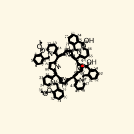 COOc1ccccc1C[n+]1ccccc1-c1c2nc(c(-c3cccc[n+]3Cc3ccccc3OOC)c3ccc([nH]3)c(-c3cccc[n+]3Cc3ccccc3C(=O)O)c3nc(c(-c4cccc[n+]4Cc4ccccc4C(=O)O)c4ccc1[nH]4)C=C3)C=C2